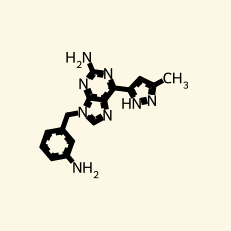 Cc1cc(-c2nc(N)nc3c2ncn3Cc2cccc(N)c2)[nH]n1